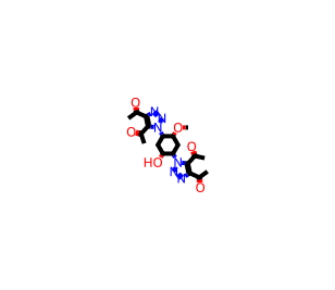 COC1CC(n2nnc(C(C)=O)c2C(C)=O)C(O)CC1n1nnc(C(C)=O)c1C(C)=O